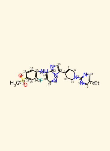 CCc1cnc(N2CC=C(c3cnc4c(Nc5ccc(S(C)(=O)=O)cc5F)ccnn34)CC2)nc1